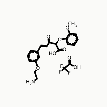 COc1ccccc1OC(C(=O)O)C(=O)C=Cc1cccc(OCCN)c1.O=C(O)C(F)(F)F